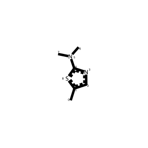 Cc1cnc(N(C)C)s1